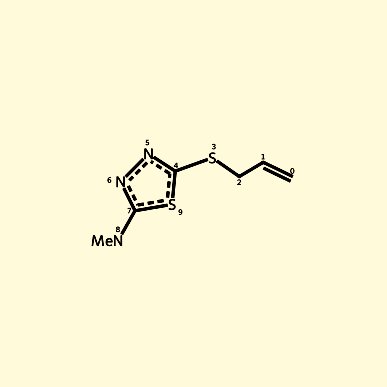 C=CCSc1nnc(NC)s1